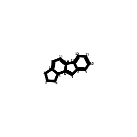 C1=C2CCC[C]2C2=Cc3ccccc3C2=C1